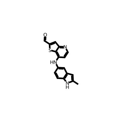 Cc1cc2cc(Nc3ccnc4cc(C=O)sc34)ccc2[nH]1